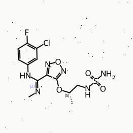 C/N=C(\Nc1ccc(F)c(Cl)c1)c1nonc1O[C@@H](C)CNS(N)(=O)=O